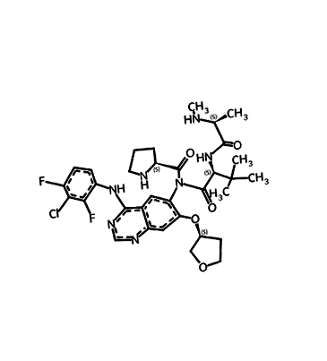 CN[C@@H](C)C(=O)N[C@H](C(=O)N(C(=O)[C@@H]1CCCN1)c1cc2c(Nc3ccc(F)c(Cl)c3F)ncnc2cc1O[C@H]1CCOC1)C(C)(C)C